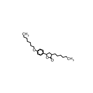 CCCCCCCOc1ccc(C2CC(CCCCCC)C(=O)O2)cc1